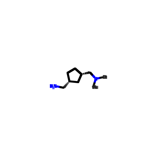 CCN(C[C@H]1CC[C@@H](CN)C1)C(C)(C)C